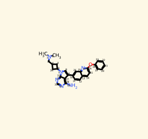 CN(C)CC1CC(n2cc(-c3ccc4ccc(Oc5ccccc5)nc4c3)c3c(N)ncnc32)C1